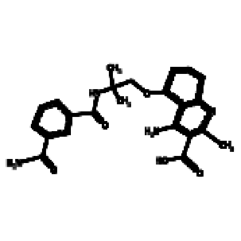 Cc1nc2cccc(OCC(C)(C)NC(=O)c3cccc(C(N)=O)c3)c2c(N)c1C(=O)O